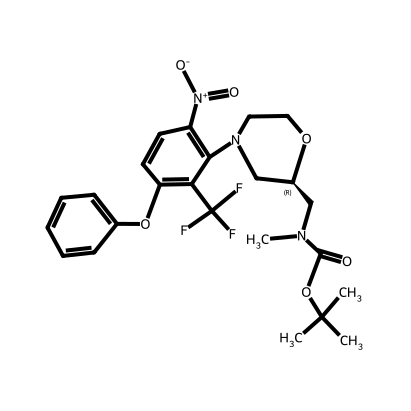 CN(C[C@H]1CN(c2c([N+](=O)[O-])ccc(Oc3ccccc3)c2C(F)(F)F)CCO1)C(=O)OC(C)(C)C